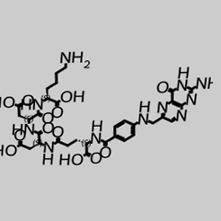 NCCCC[C@H](NC(=O)[C@H](CC(=O)O)NC(=O)[C@H](CC(=O)O)NC(=O)CC[C@H](NC(=O)c1ccc(NCc2cnc3nc(N)[nH]c(=O)c3n2)cc1)C(=O)O)C(=O)O